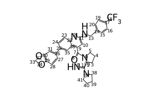 N=C([C@@H]1CCCN1C(=O)c1cc(NCc2ccc(C(F)(F)F)cc2)nc2ccc(-c3ccc4c(c3)OCO4)cc12)N1CCCC1